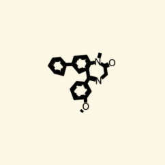 COc1cccc(C2=NCC(=O)N(C)c3ccc(-c4ccccc4)cc32)c1